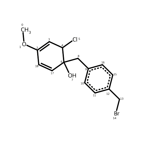 COC1=CC(Cl)C(O)(Cc2ccc(CBr)cc2)C=C1